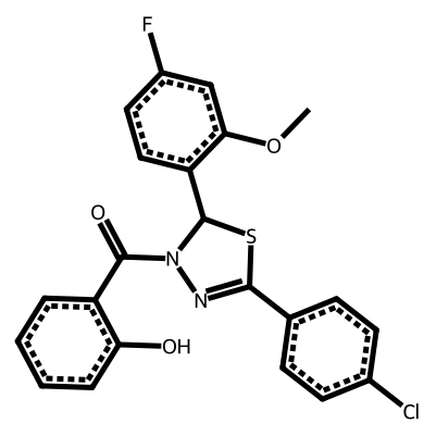 COc1cc(F)ccc1C1SC(c2ccc(Cl)cc2)=NN1C(=O)c1ccccc1O